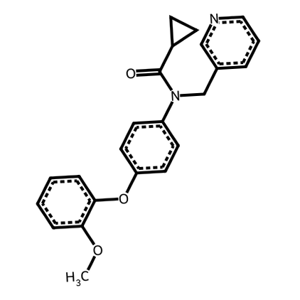 COc1ccccc1Oc1ccc(N(Cc2cccnc2)C(=O)C2CC2)cc1